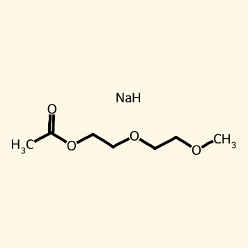 COCCOCCOC(C)=O.[NaH]